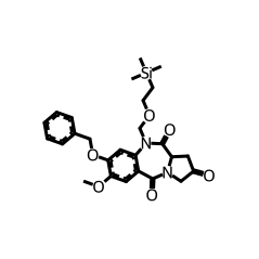 COc1cc2c(cc1OCc1ccccc1)N(COCC[Si](C)(C)C)C(=O)C1CC(=O)CN1C2=O